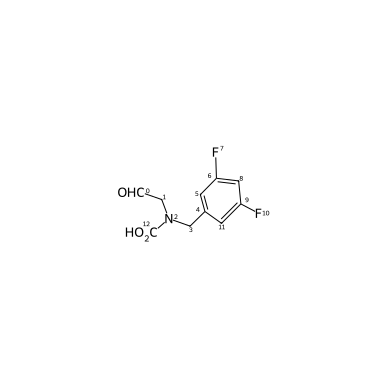 O=CCN(Cc1cc(F)cc(F)c1)C(=O)O